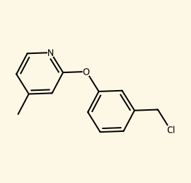 Cc1ccnc(Oc2cccc(CCl)c2)c1